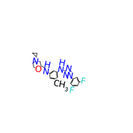 Cc1cc(NCC2CN(C3CC3)CCO2)cc(Nc2ncn(-c3cc(F)cc(F)c3)n2)c1